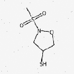 CS(=O)(=O)N1CC(S)CO1